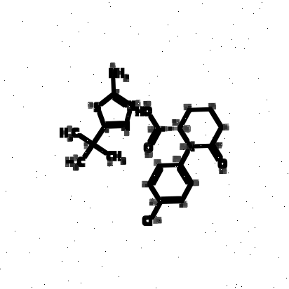 CC(C)(C)c1nnc(N)s1.O=C(O)[C@@H]1CCCC(=O)N1c1ccc(Cl)cc1